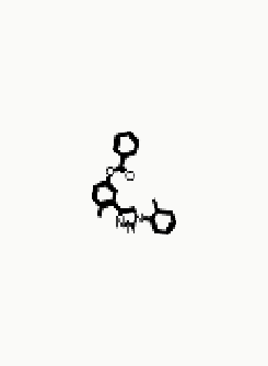 Cc1ccc(OC(=O)c2ccccc2)cc1-c1cn(-c2ccccc2C)nn1